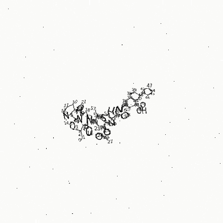 CCC(C)C(NC(=O)C1CCCCN1C)C(=O)N(CCOC)[C@H](C[C@@H](OC(C)=O)c1nc(C(=O)N[C@H]2Cc3ccc(-c4ccccc4)cc3[C@H](C(=O)O)C2)cs1)C(C)C